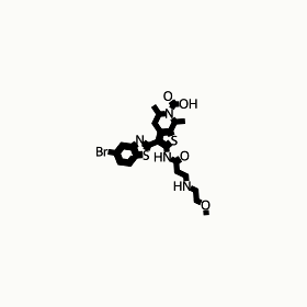 COCCNCCC(=O)Nc1sc2c(c1-c1nc3cc(Br)ccc3s1)CC(C)N(C(=O)O)C2C